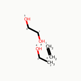 C=C.CCO.OCCO